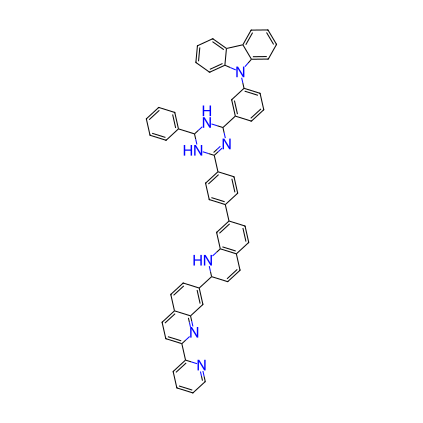 C1=CC(c2ccc3ccc(-c4ccccn4)nc3c2)Nc2cc(-c3ccc(C4=NC(c5cccc(-n6c7ccccc7c7ccccc76)c5)NC(c5ccccc5)N4)cc3)ccc21